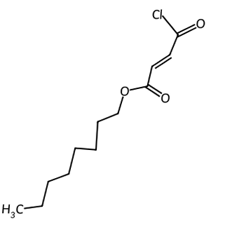 CCCCCCCCOC(=O)/C=C/C(=O)Cl